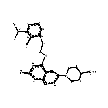 COC1CCN(c2cc3c(NCCc4cccc(C(F)F)c4F)nc(Cl)nc3cn2)CC1